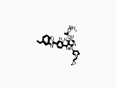 CC(=O)O.CCc1ccc2oc(-c3ccc(-c4nn(C5CCN(CCOC)C5)c5ncnc(N)c45)cc3)nc2c1.N